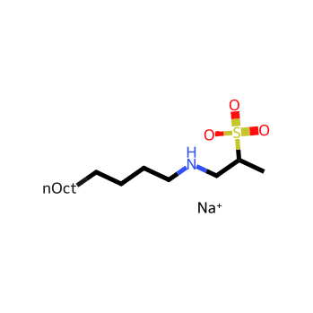 CCCCCCCCCCCCNCC(C)S(=O)(=O)[O-].[Na+]